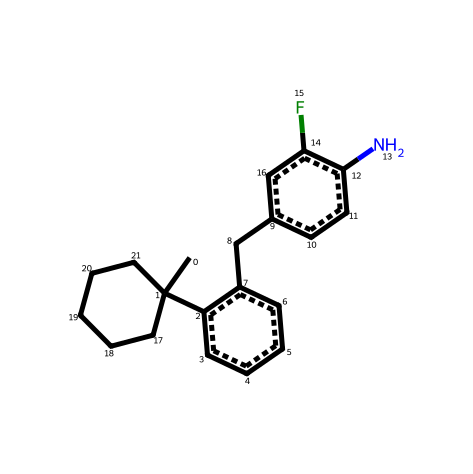 CC1(c2ccccc2Cc2ccc(N)c(F)c2)CCCCC1